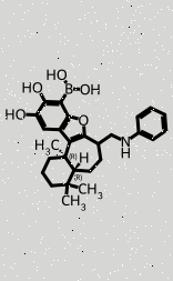 CC1(C)CCC[C@@]2(C)c3c(oc4c(B(O)O)c(O)c(O)cc34)C(CNc3ccccc3)CC[C@H]12